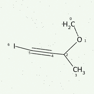 [CH2]OC(C)C#CI